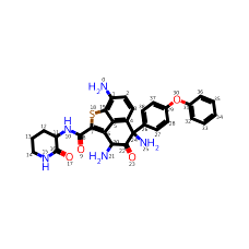 Nc1ccc2c3c(c(C(=O)NC4CCCNC4=O)sc13)C(N)C(=O)C2(N)c1ccc(Oc2ccccc2)cc1